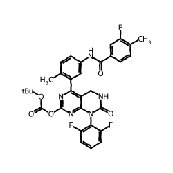 Cc1ccc(C(=O)Nc2ccc(C)c(-c3nc(OC(=O)OC(C)(C)C)nc4c3CNC(=O)N4c3c(F)cccc3F)c2)cc1F